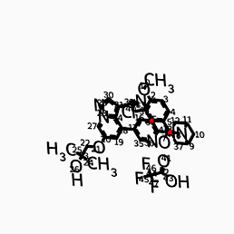 COc1ccc(C(=O)N2C3CC2CN(c2ccc(-c4cc(OCC(C)(C)O)cn5ncc(C#N)c45)cn2)C3)cc1Cl.O=C(O)C(F)(F)F